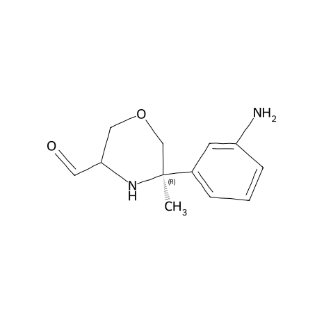 C[C@@]1(c2cccc(N)c2)COCC(C=O)N1